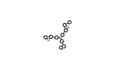 c1ccc(-c2cccc3c2oc2ccc(-c4ccc(N(c5ccc(-c6ccc7c(c6)oc6ccccc67)cc5)c5ccc(-c6cccc7ccccc67)cc5)cc4)cc23)cc1